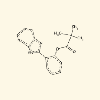 CC(C)(C)C(=O)Oc1ccccc1-c1nc2cccnc2[nH]1